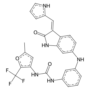 Cc1cc(NC(=O)Nc2cccc(Nc3ccc4c(c3)NC(=O)C4=Cc3ccc[nH]3)c2)c(C(F)(F)F)o1